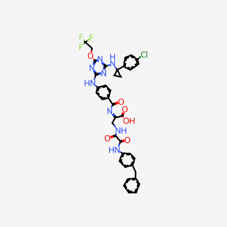 O=C(NC/C(=N/C(=O)c1ccc(Nc2nc(NC3(c4ccc(Cl)cc4)CC3)nc(OCC(F)(F)F)n2)cc1)C(=O)O)C(=O)Nc1ccc(Cc2ccccc2)cc1